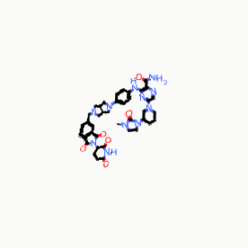 CN1CCN([C@@H]2CCCN(c3cnc(C(N)=O)c(Nc4ccc(N5CC6CN(Cc7ccc8c(c7)C(=O)N(C7CCC(=O)NC7=O)C8=O)CC6C5)cc4)n3)C2)C1=O